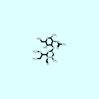 CCC(OC)C(OC=O)O[C@H](CNC)OC1[C@H](O)C(CO)O[C@@H](C)[C@H]1NC(C)=O